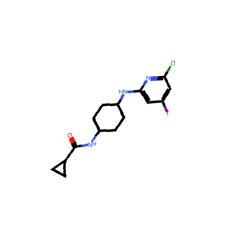 O=C(NC1CCC(Nc2cc(I)cc(Cl)n2)CC1)C1CC1